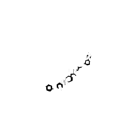 CNS(=O)(=O)c1cccc(OC[C@@H](O)CNC2COC3(CCN(S(=O)(=O)c4ccc(Oc5ccccc5)nc4)CC3)C2)c1